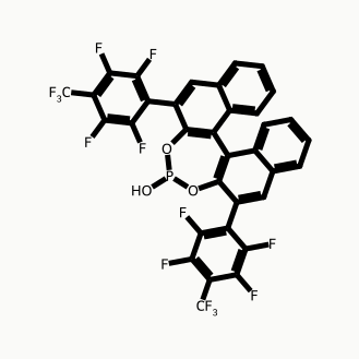 Op1oc2c(-c3c(F)c(F)c(C(F)(F)F)c(F)c3F)cc3ccccc3c2c2c(o1)c(-c1c(F)c(F)c(C(F)(F)F)c(F)c1F)cc1ccccc12